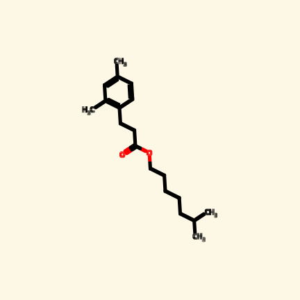 Cc1ccc(CCC(=O)OCCCCCC(C)C)c(C)c1